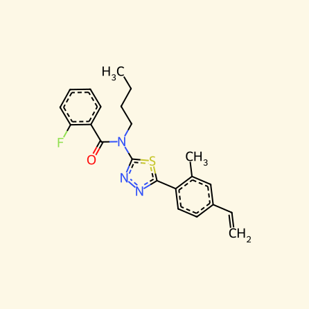 C=Cc1ccc(-c2nnc(N(CCCC)C(=O)c3ccccc3F)s2)c(C)c1